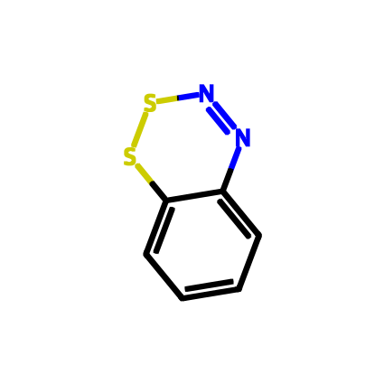 c1ccc2c(c1)N=NSS2